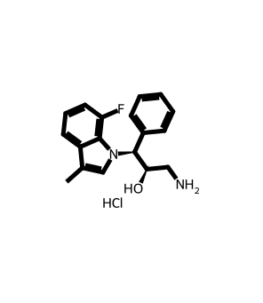 Cc1cn([C@@H](c2ccccc2)[C@H](O)CN)c2c(F)cccc12.Cl